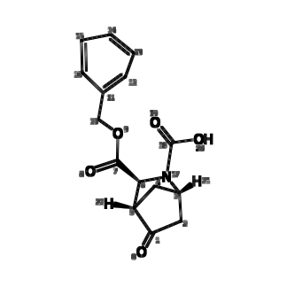 O=C1C[C@@H]2C[C@H]1[C@@H](C(=O)OCc1ccccc1)N2C(=O)O